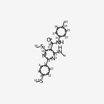 CNc1nc(-c2ccc(SC)cc2)nc(SC)c1C(=O)Nc1ccc(C)cc1